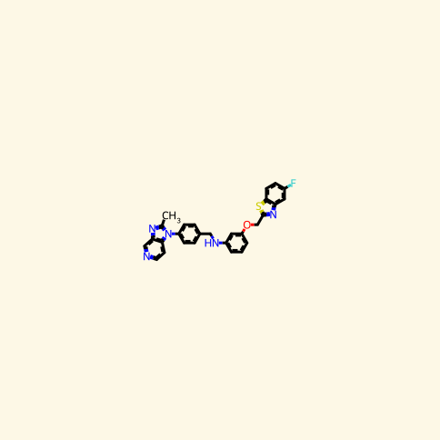 Cc1nc2cnccc2n1-c1ccc(CNc2cccc(OCc3nc4cc(F)ccc4s3)c2)cc1